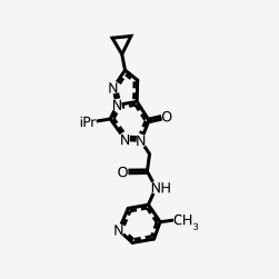 Cc1ccncc1NC(=O)Cn1nc(C(C)C)n2nc(C3CC3)cc2c1=O